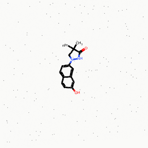 CCCC1(C)CN(c2ccc3ccc(O)cc3c2)NC1=O